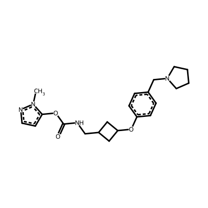 Cn1nccc1OC(=O)NCC1CC(Oc2ccc(CN3CCCC3)cc2)C1